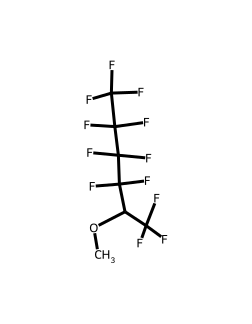 COC(C(F)(F)F)C(F)(F)C(F)(F)C(F)(F)C(F)(F)F